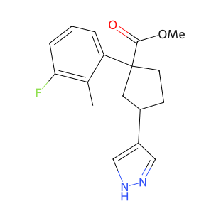 COC(=O)C1(c2cccc(F)c2C)CCC(c2cn[nH]c2)C1